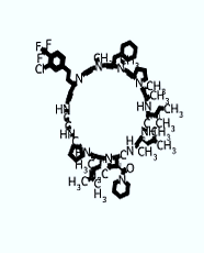 CC[C@H](C)[C@H]1CN[C@@H](CC(C)C)C(C)NCC2[C@@H](C(=O)N3CCCCC3)C(C)N2[C@@H](CCC(C)C)C(C)NC2(CCCC2)CNCCNC=CC(CCc2ccc(C(F)(F)F)c(Cl)c2)=NC=CN(C)C=C(CC2CCCCC2)N(C)C=C2CCCN2[C@@H](C)C(C)N1